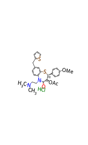 COc1ccc([C@@H]2Sc3cc(Cc4cccs4)ccc3N(CCN(C)C)C(=O)[C@@H]2OC(C)=O)cc1.Cl